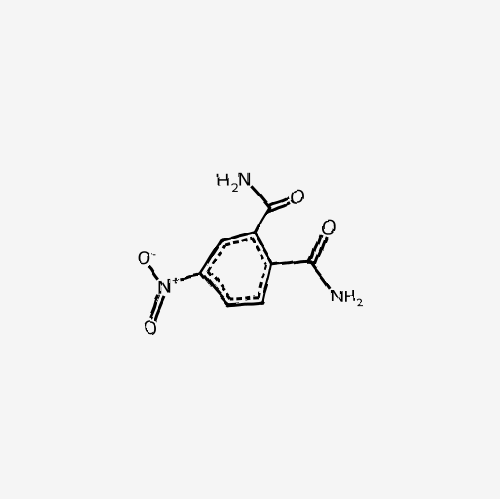 NC(=O)c1ccc([N+](=O)[O-])cc1C(N)=O